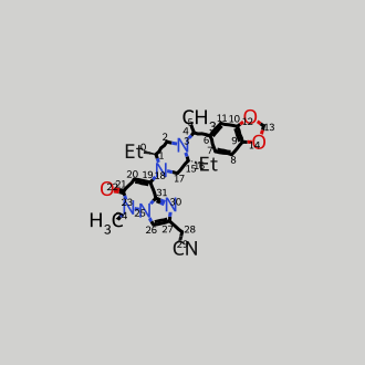 CC[C@H]1CN(C(C)c2ccc3c(c2)OCO3)[C@H](CC)CN1c1cc(=O)n(C)n2cc(CC#N)nc12